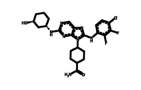 NC(=O)C1CCC(n2c(Nc3ccc(Cl)c(F)c3F)nc3cnc(N[C@H]4CCC[C@H](O)C4)nc32)CC1